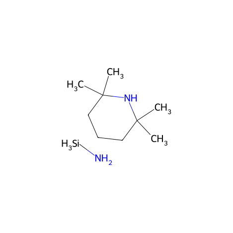 CC1(C)CCCC(C)(C)N1.N[SiH3]